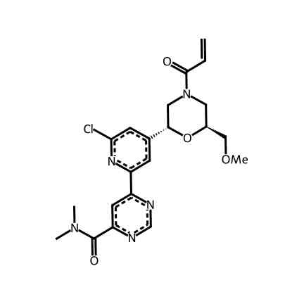 C=CC(=O)N1C[C@@H](COC)O[C@H](c2cc(Cl)nc(-c3cc(C(=O)N(C)C)ncn3)c2)C1